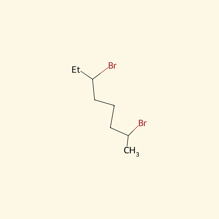 CCC(Br)CCCC(C)Br